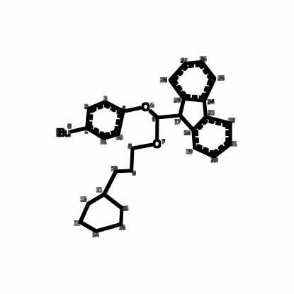 CCC(C)c1ccc(OC(OCCCC2CCCCC2)C2c3ccccc3-c3ccccc32)cc1